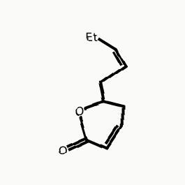 CC/C=C\CC1CC=CC(=O)O1